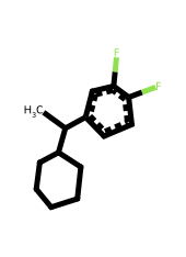 CC(c1ccc(F)c(F)c1)C1CCCCC1